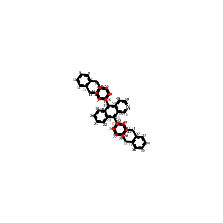 c1ccc2c(c1)C1c3ccccc3C2c2cc(-c3c4ccccc4c(-c4ccc5c(c4)C4c6ccccc6C5c5ccccc54)c4cnccc34)ccc21